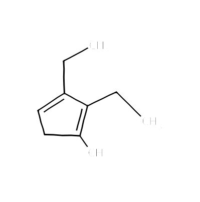 CCC1=CCC(C)=C1CC